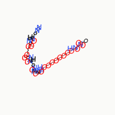 COc1cc2c(cc1OCCCCCOc1cc3c(cc1OC)C(=O)N1C=C(c4ccc(N5CCN(C)CC5)cc4)C[C@H]1C=N3)N=C[C@@H]1CC(c3ccc(NC(=O)[C@H](C)NC(=O)[C@@H](NC(=O)CCOCCOCCOCCOCCOCCOCCOCCOCCNC(=O)CCN4C(=O)CC(C5CCCCCC5)C4=O)C(C)C)cc3)=CN1C2=O